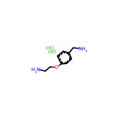 Cl.Cl.NCCOc1ccc(CN)cc1